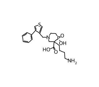 NCCCCC1(C(=O)O)CN(Cc2cscc2-c2ccccc2)CCP1(=O)O